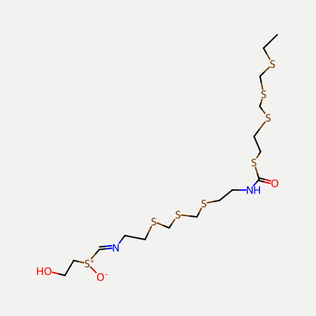 CCSCSCSCCSC(=O)NCCSCSCSCC/N=C/[S+]([O-])CCO